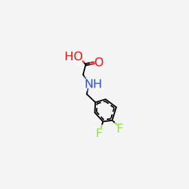 O=C(O)CNCc1ccc(F)c(F)c1